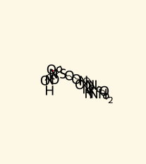 Nc1ncnc2c1c(-c1ccc(Oc3ccccc3)cc1)nn2C1CCCN(C(=O)COCCOCCSc2cccc3c2CN(C2CCC(=O)NC2=O)C3=O)C1